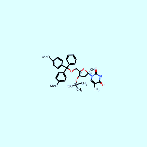 COc1ccc(C(OC[C@H]2O[C@@](C#N)(n3cc(C)c(=O)[nH]c3=O)CC2O[Si](C)(C)C(C)(C)C)(c2ccccc2)c2ccc(OC)cc2)cc1